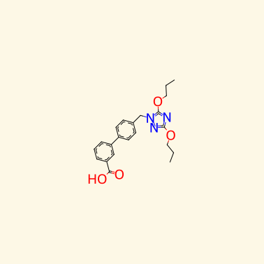 CCCOc1nc(OCCC)n(Cc2ccc(-c3cccc(C(=O)O)c3)cc2)n1